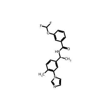 Cc1ccc([C@H](C)NC(=O)c2cccc(OC(F)F)c2)cc1-n1ccnc1